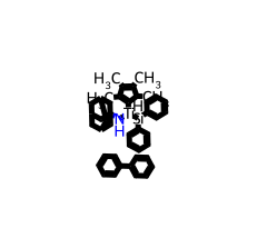 CC1=C(C)C(C)[C]([Ti]([NH]C23CC4CC(CC(C4)C2)C3)[SiH](c2ccccc2)c2ccccc2)=C1C.c1ccc(-c2ccccc2)cc1